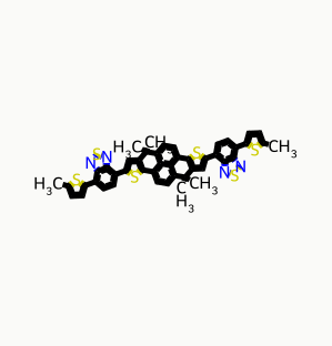 Cc1ccc(-c2ccc(-c3cc4c(s3)-c3ccc5c6c(ccc(c36)C4(C)C)-c3sc(-c4ccc(-c6ccc(C)s6)c6nsnc46)cc3C5(C)C)c3nsnc23)s1